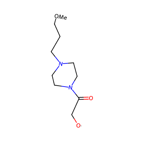 COCCCN1CCN(C(=O)C[O])CC1